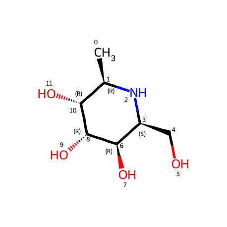 C[C@H]1N[C@@H](CO)[C@@H](O)[C@H](O)[C@@H]1O